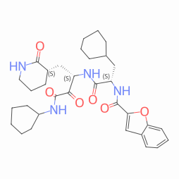 O=C(NC1CCCCC1)C(=O)[C@H](C[C@@H]1CCCNC1=O)NC(=O)[C@H](CC1CCCCC1)NC(=O)c1cc2ccccc2o1